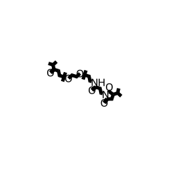 CC(C)C(=O)CCC(C)(C)OCCOC(C)(C)CCNC(=O)CCN1C(=O)CC(C(C)C)C1=O